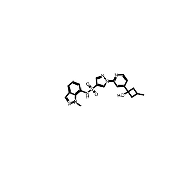 CC1CC(O)(c2ccnc(-n3cc(S(=O)(=O)Nc4cccc5cnn(C)c45)cn3)c2)C1